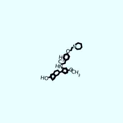 COc1ccc(C2CCc3cc(O)ccc3C2)c(NC(C)Cc2ccc(OCCN3CCCCCC3)cc2)c1